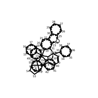 C1=CCC2C(=C1)c1ccccc1C2(c1ccccc1)c1ccc2c(oc3ccccc32)c1N(c1ccccc1)c1cccc2c1-c1ccccc1C21CCCC1